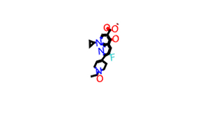 COC(=O)c1cn(C2CC2)c2nc(C3=CCN(C(C)=O)CC3)c(F)cc2c1=O